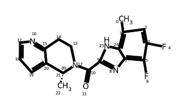 Cc1cc(F)c(F)c2nc(C(=O)N3CCc4ncccc4[C@H]3C)[nH]c12